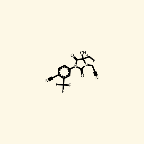 CC1(CF)C(=O)N(c2ccc(C#N)c(C(F)(F)F)c2)C(=O)N1CC#N